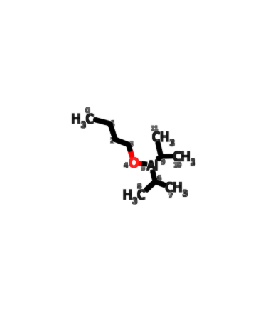 CCCC[O][Al]([CH](C)C)[CH](C)C